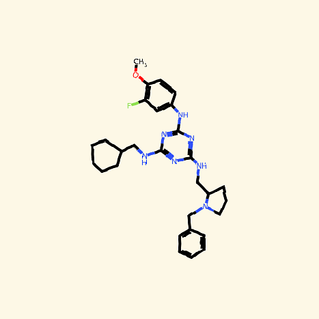 COc1ccc(Nc2nc(NCC3CCCCC3)nc(NCC3CCCN3Cc3ccccc3)n2)cc1F